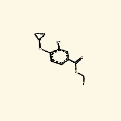 CCOC(=O)c1ccc(OC2CC2)c(Cl)c1